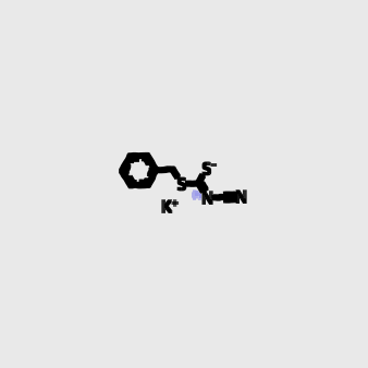 N#C/N=C(\[S-])SCc1ccccc1.[K+]